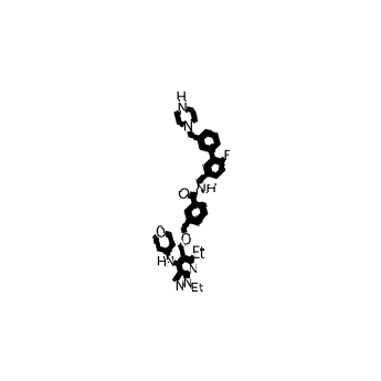 CCc1nc2c(cnn2CC)c(NC2CCOCC2)c1COCc1cccc(C(=O)NCc2ccc(F)c(-c3cccc(CN4CCNCC4)c3)c2)c1